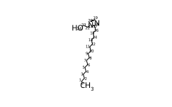 CCCCCCCCCCCCCCCCCc1nccn1CCO